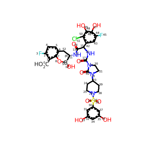 O=C(O)c1c(F)ccc2c1OB(O)[C@@H](NC(=O)C(NC(=O)N1CCN(C3CCN(S(=O)(=O)c4cc(O)cc(O)c4)CC3)C1=O)c1cc(F)c(O)c(O)c1Cl)C2